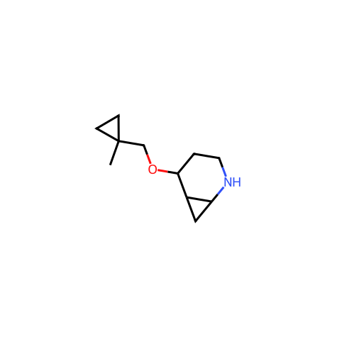 CC1(COC2CCNC3CC32)CC1